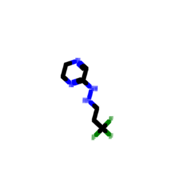 FC(F)(F)CCNNC1=NCCN=C1